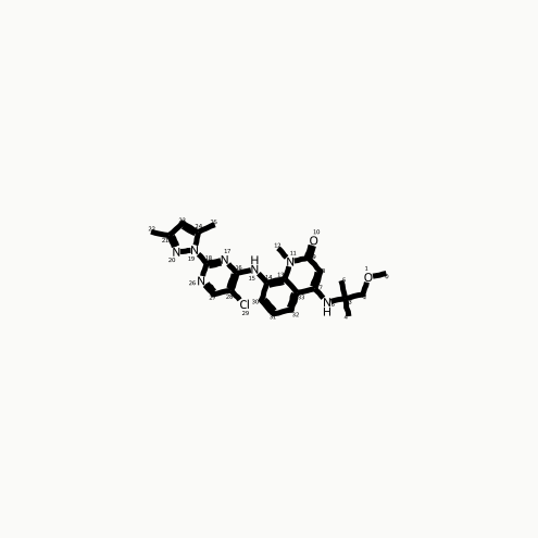 COCC(C)(C)Nc1cc(=O)n(C)c2c(Nc3nc(-n4nc(C)cc4C)ncc3Cl)cccc12